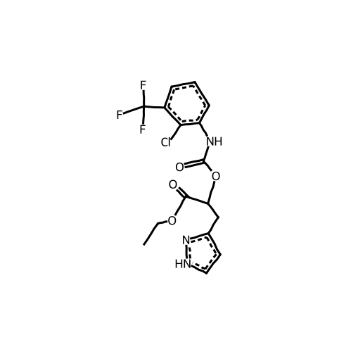 CCOC(=O)C(Cc1cc[nH]n1)OC(=O)Nc1cccc(C(F)(F)F)c1Cl